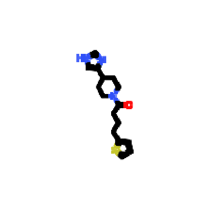 O=C(CCCc1cccs1)N1CCC(c2c[nH]cn2)CC1